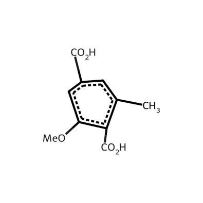 COc1cc(C(=O)O)cc(C)c1C(=O)O